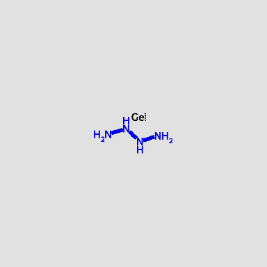 NNNN.[Ge]